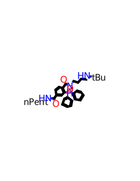 CCCCCNC(=O)c1ccc(C(=O)NCCCCNC(C)(C)C)c(P(=O)(c2ccccc2)c2ccccc2)c1